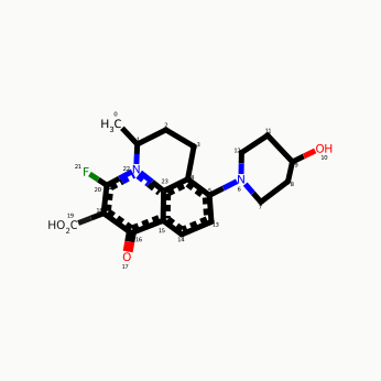 CC1CCc2c(N3CCC(O)CC3)ccc3c(=O)c(C(=O)O)c(F)n1c23